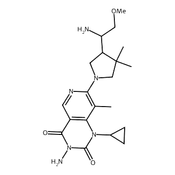 COCC(N)C1CN(c2ncc3c(=O)n(N)c(=O)n(C4CC4)c3c2C)CC1(C)C